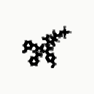 COc1ccc([C@H](NC(=O)C(Cc2cccc(Cl)c2)NC(=O)c2ccccc2)C(=O)N[C@H](C(=O)C(F)(F)C(=O)NCC(F)(F)F)C(C)C)cc1